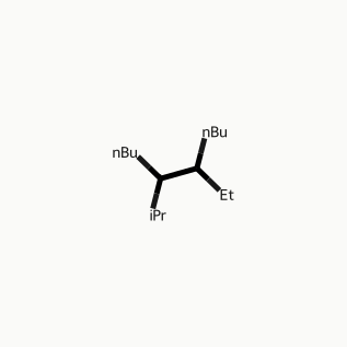 CCCC[C](C(C)C)C(CC)CCCC